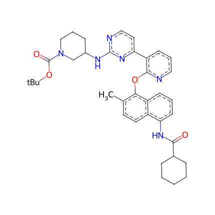 Cc1ccc2c(NC(=O)C3CCCCC3)cccc2c1Oc1ncccc1-c1ccnc(NC2CCCN(C(=O)OC(C)(C)C)C2)n1